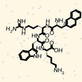 N=C(N)NCCC[C@H](NC(=O)[C@H](N)Cc1ccc2ccccc2c1)C(=O)N[C@@H](Cc1c[nH]c2ccccc12)C(=O)N[C@@H](CCCCN)C(=O)O